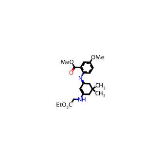 CCOC(=O)CNC1=CC(=Nc2ccc(OC)cc2C(=O)OC)CC(C)(C)C1